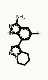 Nc1n[nH]c2c(-c3cnn4c3CCCC4)cc(Br)cc12